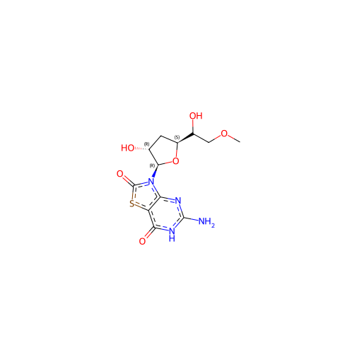 COCC(O)[C@@H]1C[C@@H](O)[C@H](n2c(=O)sc3c(=O)[nH]c(N)nc32)O1